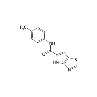 O=C(Nc1ccc(C(F)(F)F)cc1)c1cc2scnc2[nH]1